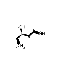 C=CN(C)CC=N